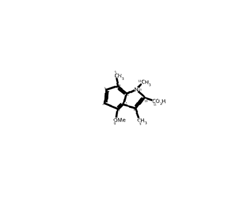 COc1ccc(C)c2c1c(C)c(C(=O)O)n2C